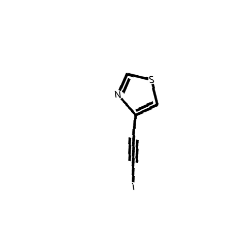 IC#Cc1cscn1